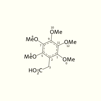 COc1c(CC(=O)O)c(OC)c(OC)c(OC)c1OC